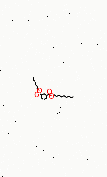 CCCCCCCCCOC(=O)C1CCCC(C(=O)OCCCCCC)C1